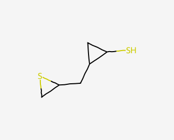 SC1CC1CC1CS1